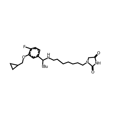 CC(C)(C)C(NCCCCCCCN1CC(=O)NC1=O)c1ccc(F)c(OCC2CC2)c1